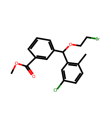 COC(=O)c1cccc(C(OCCBr)c2cc(Cl)ccc2C)c1